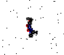 Cn1c(C(=O)N2CCN(C3CCC(O[Si](C)(C)C(C)(C)C)CC3)C(=O)C2)nc2c(-c3ccccc3)cc(C3CC3)cc21